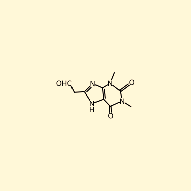 Cn1c(=O)c2[nH]c(CC=O)nc2n(C)c1=O